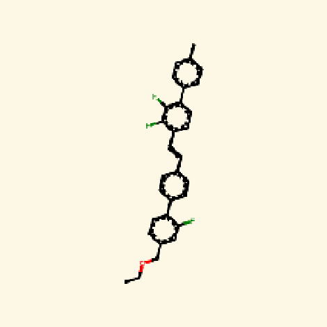 CCOCc1ccc(-c2ccc(/C=C/c3ccc(-c4ccc(C)cc4)c(F)c3F)cc2)c(F)c1